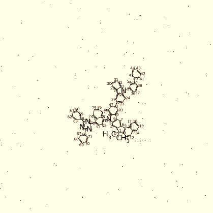 CC1(C)c2cc3c(cc2-c2c1ccc1ccccc21)c1cc(-c2ccc4c(c2)c2ccccc2n4-c2cccc(-c4ccccc4)c2)ccc1n3-c1ccc(-c2nc(-c3ccccc3)nc(-c3ccccc3)n2)c2ccccc12